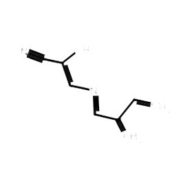 C=CC(=C)/C=N/C=C(\C)C#N